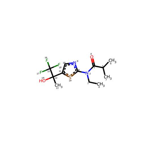 CCN(C(=O)C(C)C)c1ncc(C(C)(O)C(F)(F)F)s1